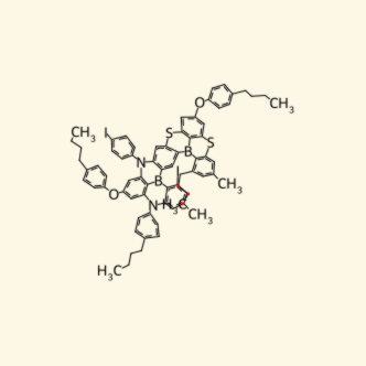 CCCCc1ccc(Oc2cc3c4c(c2)Sc2cc(C)cc(CCCC)c2B4c2cc4c(cc2S3)N(c2ccc(I)cc2)c2cc(Oc3ccc(CCCC)cc3)cc3c2B4c2c(I)cc(C)cc2N3c2ccc(CCCC)cc2)cc1